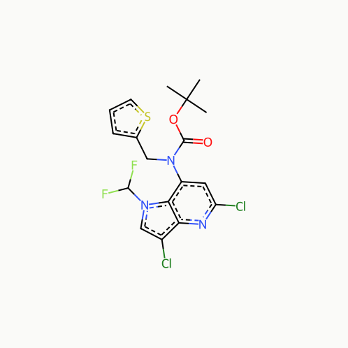 CC(C)(C)OC(=O)N(Cc1cccs1)c1cc(Cl)nc2c(Cl)cn(C(F)F)c12